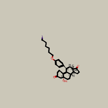 C[C@]12C[C@H](c3ccc(OCCCCCCI)cc3)C3=C4CCC(=O)C[C@]4(O)CC[C@H]3[C@@H]1CCC2=O